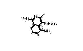 CCCCCc1c(C)nc(N)c2cccc(N)c12